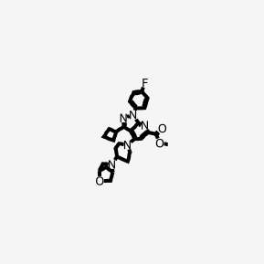 COC(=O)c1cc(N2CCC(N3CC4CC3CO4)CC2)c2c(C3CCC3)nn(-c3ccc(F)cc3)c2n1